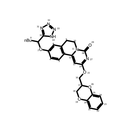 CCCCC(Oc1ccc2c(c1)CCn1c-2cc(OCC2COc3ccccc3O2)nc1=O)c1nnn[nH]1